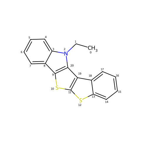 CCn1c2ccccc2c2sc3sc4ccccc4c3c21